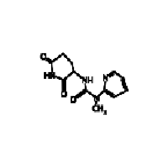 CN(C(=O)NC1CCC(=O)NC1=O)c1ccccn1